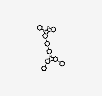 c1ccc(-c2ccc3c(c2)c2cc(-c4ccccc4)ccc2n3-c2ccc(-c3ccc(-c4ccc5c(c4)c4c6ccccc6oc4n5-c4ccccc4)cc3)cc2)cc1